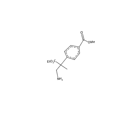 CCOC(=O)C(C)(CN)c1ccc(C(=O)OC)cc1